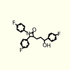 O=C1C(CCC(O)c2ccc(F)cc2)C(c2ccc(F)cc2)N1c1ccc(F)cc1